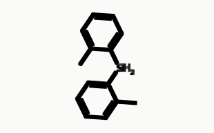 Cc1ccccc1[SiH2]c1ccccc1C